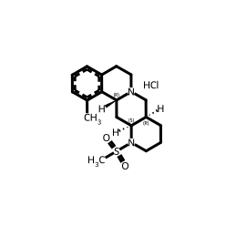 Cc1cccc2c1[C@H]1C[C@H]3[C@H](CCCN3S(C)(=O)=O)CN1CC2.Cl